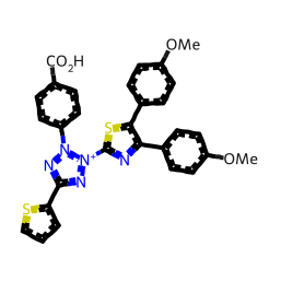 COc1ccc(-c2nc(-[n+]3nc(-c4cccs4)nn3-c3ccc(C(=O)O)cc3)sc2-c2ccc(OC)cc2)cc1